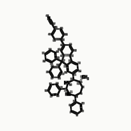 C[C@@H]1CCC(c2ccccc2)NC(c2ccccc2)NC1c1ccc2c(c1)C(c1ccccc1)(c1ccccc1)c1cc(-c3ccc(C#N)cc3)ccc1-2